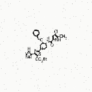 CCOC(=O)c1sc(N2CC[C@@H](NC(=O)c3cc(Cl)c(C)[nH]3)[C@@H](OCc3ccccc3)C2)nc1-c1nnn[nH]1